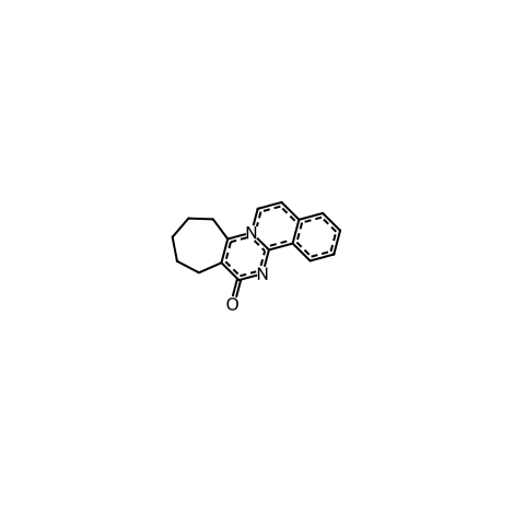 O=c1nc2c3ccccc3ccn2c2c1CCCCC2